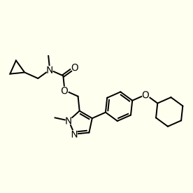 CN(CC1CC1)C(=O)OCc1c(-c2ccc(OC3CCCCC3)cc2)cnn1C